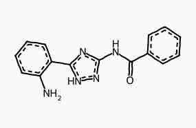 Nc1ccccc1-c1nc(NC(=O)c2ccccc2)n[nH]1